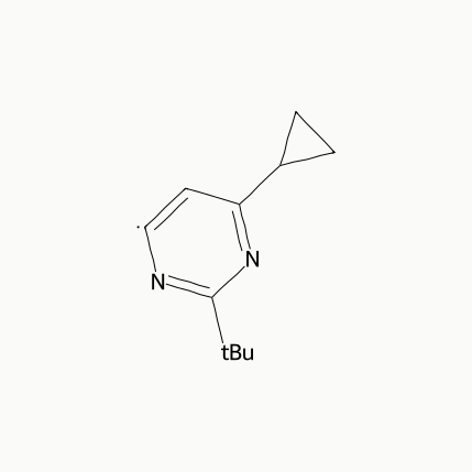 CC(C)(C)c1n[c]cc(C2CC2)n1